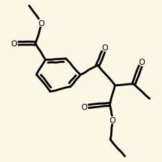 CCOC(=O)C(C(C)=O)C(=O)c1cccc(C(=O)OC)c1